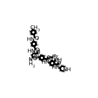 Cc1ccc(C(=O)Nc2ccc(C(=O)NC(CC(N)=O)C(=O)Nc3ccc(C(=O)Nc4ccc(C(=O)NC5CCNCC5)c(O)c4OC(C)C)cc3)cc2)cc1